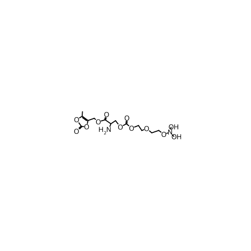 Cc1oc(=O)oc1COC(=O)C(N)COC(=O)OCCOCCON(O)O